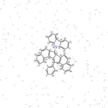 c1ccc(C2=C3C(=C(n4c5ccccc5c5ccccc54)c4ccc5ccccc5c43)c3ccc4ccccc4c32)cc1